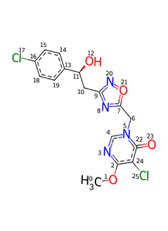 COc1ncn(Cc2nc(C[C@H](O)c3ccc(Cl)cc3)no2)c(=O)c1Cl